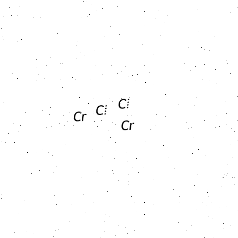 [C].[C].[Cr].[Cr]